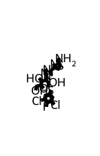 Nc1nc(-c2cn(C3C(O)C(CO)OC(Sc4cc(Cl)c(F)c(Cl)c4)C3O)nn2)cs1